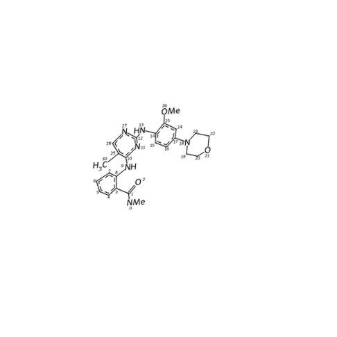 CNC(=O)c1ccccc1Nc1nc(Nc2ccc(N3CCOCC3)cc2OC)ncc1C